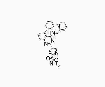 NS(=O)(=O)c1ncc(-c2nc(NCc3ccccn3)c3c(-c4ccccc4)cccc3n2)s1